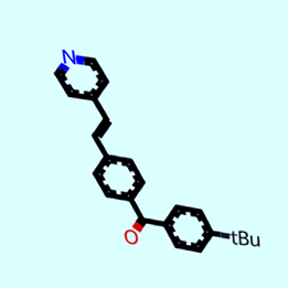 CC(C)(C)c1ccc(C(=O)c2ccc(C=Cc3ccncc3)cc2)cc1